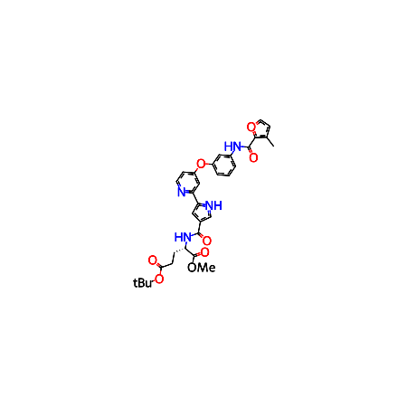 COC(=O)[C@H](CCC(=O)OC(C)(C)C)NC(=O)c1c[nH]c(-c2cc(Oc3cccc(NC(=O)c4occc4C)c3)ccn2)c1